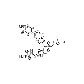 COCCS(=O)(=O)C(c1nnc(CNS(N)(=O)=O)o1)c1nc2ccc(-c3ccc(Cl)c(F)c3)cc2s1